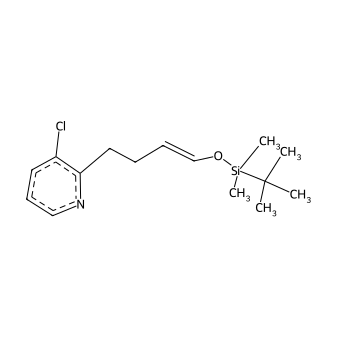 CC(C)(C)[Si](C)(C)OC=CCCc1ncccc1Cl